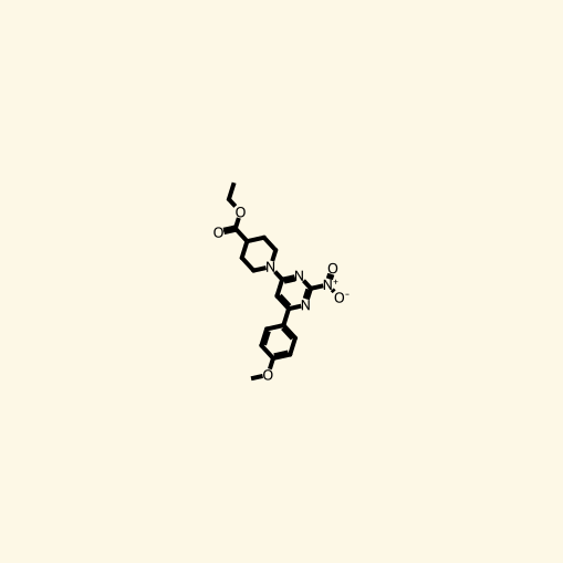 CCOC(=O)C1CCN(c2cc(-c3ccc(OC)cc3)nc([N+](=O)[O-])n2)CC1